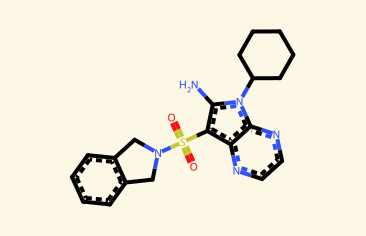 Nc1c(S(=O)(=O)N2Cc3ccccc3C2)c2nccnc2n1C1CCCCC1